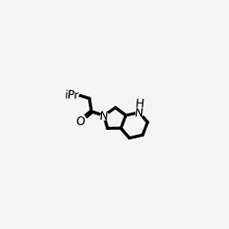 CC(C)CC(=O)N1CC2CCCNC2C1